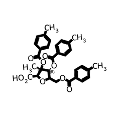 Cc1ccc(C(=O)OCC2OC(C(=O)O)[C@](C)(OC(=O)c3ccc(C)cc3)[C@@H]2OC(=O)c2ccc(C)cc2)cc1